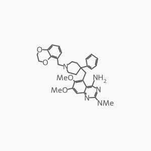 CNc1nc(N)c2c(CC3(c4ccccc4)CCN(Cc4cccc5c4OCCO5)CC3)c(OC)c(OC)cc2n1